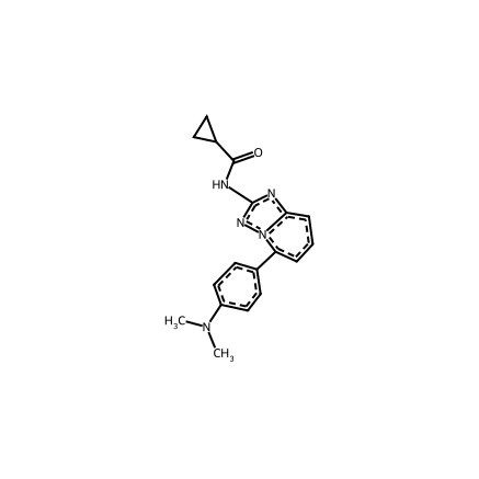 CN(C)c1ccc(-c2cccc3nc(NC(=O)C4CC4)nn23)cc1